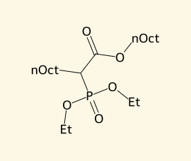 CCCCCCCCOC(=O)C(CCCCCCCC)P(=O)(OCC)OCC